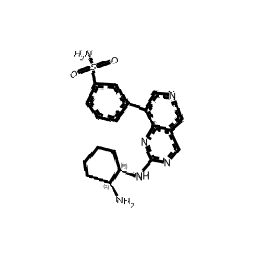 N[C@H]1CCCC[C@H]1Nc1ncc2cncc(-c3cccc(S(N)(=O)=O)c3)c2n1